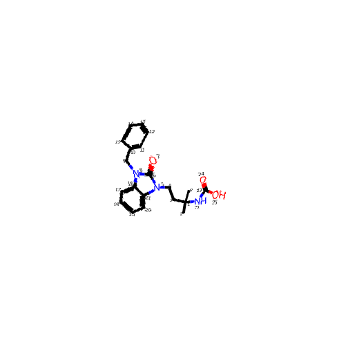 CC(C)(CCn1c(=O)n(Cc2ccccc2)c2ccccc21)NC(=O)O